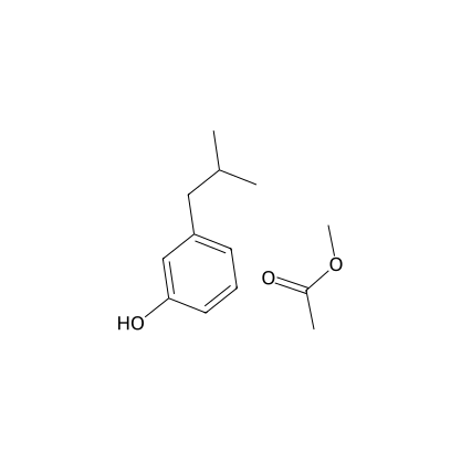 CC(C)Cc1cccc(O)c1.COC(C)=O